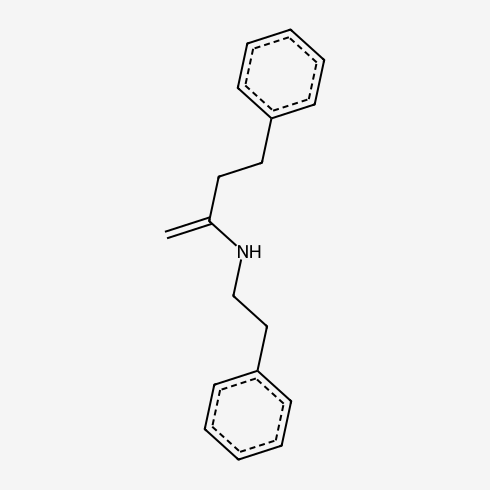 C=C(CCc1ccccc1)NCCc1ccccc1